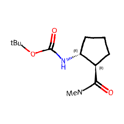 CNC(=O)[C@@H]1CCC[C@H]1NC(=O)OC(C)(C)C